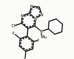 CC(C)(C)N(c1c(-c2c(F)cc(F)cc2F)c(Cl)nc2ncnn12)C1CCCCC1